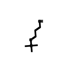 C[Si](C)(C)OCCCO